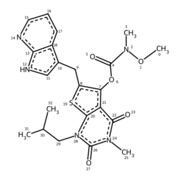 CON(C)C(=O)Oc1c(Cc2c[nH]c3ncccc23)sc2c1c(=O)n(C)c(=O)n2CC(C)C